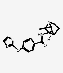 O=C(N[C@@H]1C2CCN(CC2)C1I)c1ccc(Oc2ncco2)cc1